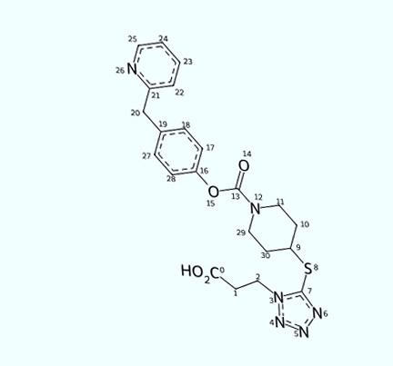 O=C(O)CCn1nnnc1SC1CCN(C(=O)Oc2ccc(Cc3ccccn3)cc2)CC1